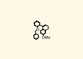 COc1ccc2c(c1)CCC=C2c1ccccc1OCc1ccccc1